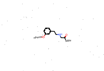 CCCCCOc1cccc(CCNCC(=O)NC)c1